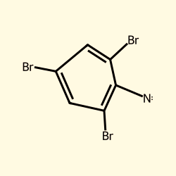 [N]c1c(Br)cc(Br)cc1Br